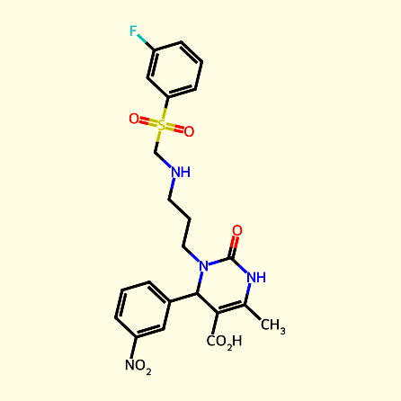 CC1=C(C(=O)O)C(c2cccc([N+](=O)[O-])c2)N(CCCNCS(=O)(=O)c2cccc(F)c2)C(=O)N1